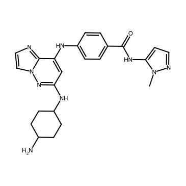 Cn1nccc1NC(=O)c1ccc(Nc2cc(NC3CCC(N)CC3)nn3ccnc23)cc1